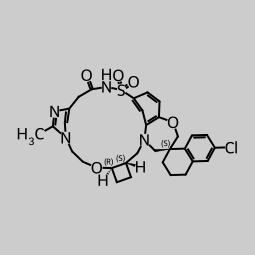 Cc1nc2cn1CCO[C@@H]1CC[C@H]1CN1C[C@@]3(CCCc4cc(Cl)ccc43)COc3ccc(cc31)S(=O)(=O)NC(=O)C2